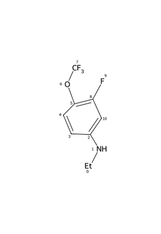 CCNc1ccc(OC(F)(F)F)c(F)c1